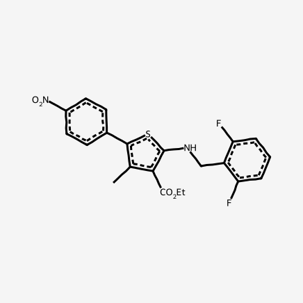 CCOC(=O)c1c(NCc2c(F)cccc2F)sc(-c2ccc([N+](=O)[O-])cc2)c1C